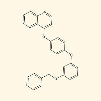 c1ccc(COc2cccc(Oc3ccc(Oc4ccnc5ccccc45)cc3)c2)cc1